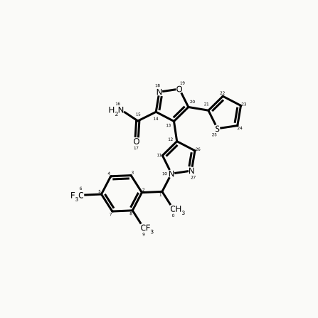 CC(c1ccc(C(F)(F)F)cc1C(F)(F)F)n1cc(-c2c(C(N)=O)noc2-c2cccs2)cn1